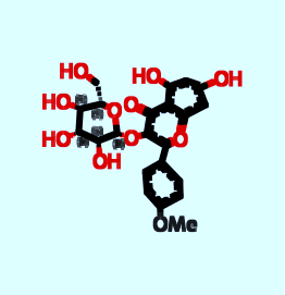 COc1ccc(-c2oc3cc(O)cc(O)c3c(=O)c2O[C@H]2O[C@@H](CO)[C@H](O)[C@@H](O)[C@@H]2O)cc1